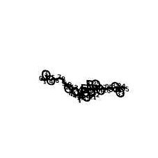 C=CC(=O)OCC/C=C\CCOC1CCC(C(F)(F)Oc2ccc(C(=O)OCCCCOC(=O)C=C)c(F)c2F)CC1